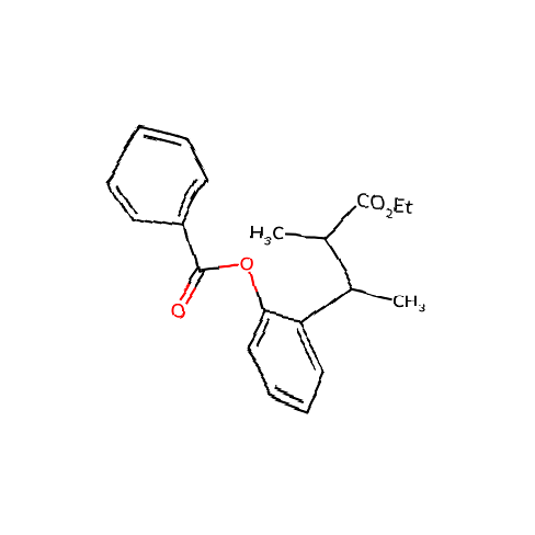 CCOC(=O)C(C)C(C)c1ccccc1OC(=O)c1ccccc1